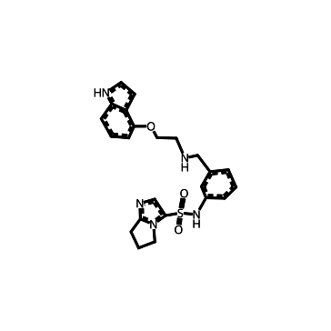 O=S(=O)(Nc1cccc(CNCCOc2cccc3[nH]ccc23)c1)c1cnc2n1CCC2